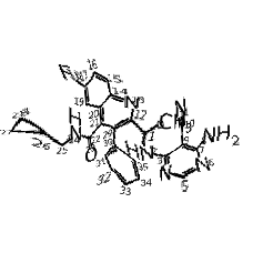 CC(Nc1ncnc(N)c1C#N)c1nc2ccc(F)cc2c(C(=O)NCC2CC2)c1-c1ccccc1